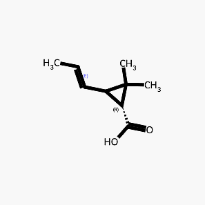 C/C=C/C1[C@@H](C(=O)O)C1(C)C